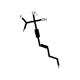 OC(C#CC=CCCF)(C(F)F)C(F)(F)F